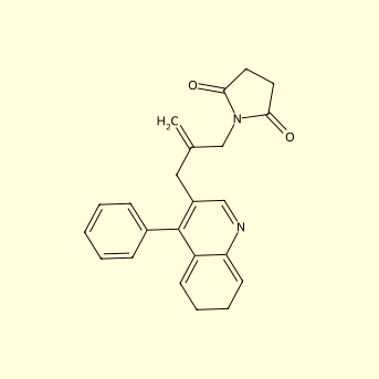 C=C(Cc1cnc2c(c1-c1ccccc1)=CCCC=2)CN1C(=O)CCC1=O